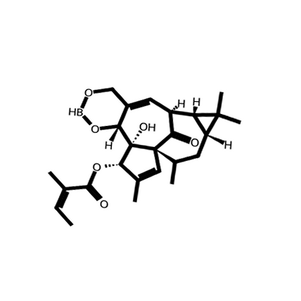 C/C=C(/C)C(=O)O[C@H]1C(C)=C[C@@]23C(=O)[C@@H](C=C4COBO[C@H]4[C@]12O)[C@H]1[C@@H](CC3C)C1(C)C